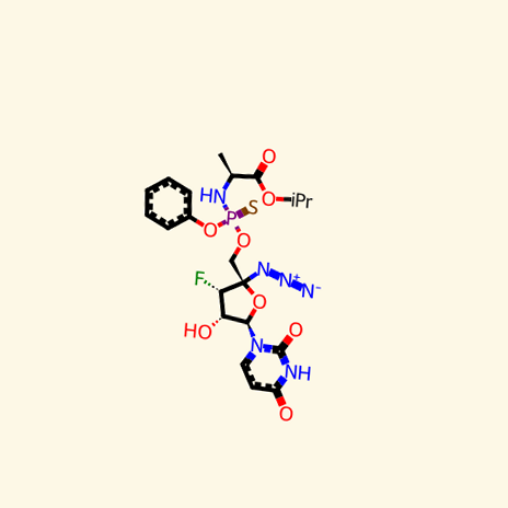 CC(C)OC(=O)[C@H](C)NP(=S)(OC[C@@]1(N=[N+]=[N-])O[C@@H](n2ccc(=O)[nH]c2=O)[C@H](O)[C@@H]1F)Oc1ccccc1